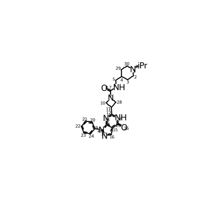 CC(C)N1CCC(CNC(=O)N2CC(c3nc4c(cnn4-c4ccccc4)c(=O)[nH]3)C2)CC1